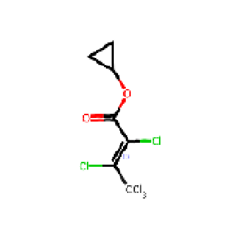 O=C(OC1CC1)/C(Cl)=C(\Cl)C(Cl)(Cl)Cl